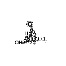 CC1=C(C(=O)OCC(Cl)(Cl)Cl)N2C(=O)C(NC(=O)COc3ccccc3)[C@@H]2[S+]([O-])C1=COC=O